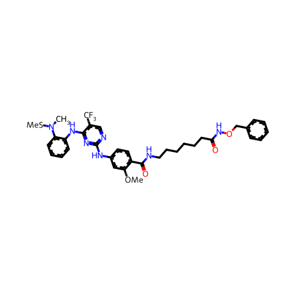 COc1cc(Nc2ncc(C(F)(F)F)c(Nc3ccccc3N(C)SC)n2)ccc1C(=O)NCCCCCCC(=O)NOCc1ccccc1